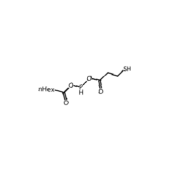 CCCCCCC(=O)OPOC(=O)CCS